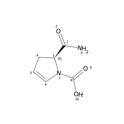 NC(=O)[C@@H]1CC=CN1C(=O)O